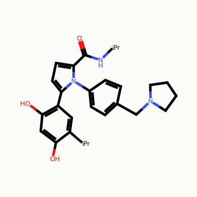 CC(C)NC(=O)c1ccc(-c2cc(C(C)C)c(O)cc2O)n1-c1ccc(CN2CCCC2)cc1